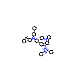 CC1(C)c2ccccc2-c2ccc(N(c3ccc(-c4ccccc4)cc3)c3ccc(-c4ccc5c(c4)c4c(ccc6c7ccccc7n(-c7ccccc7)c64)n5-c4nc(-c5ccccc5)nc(-c5ccccc5)n4)cc3)cc21